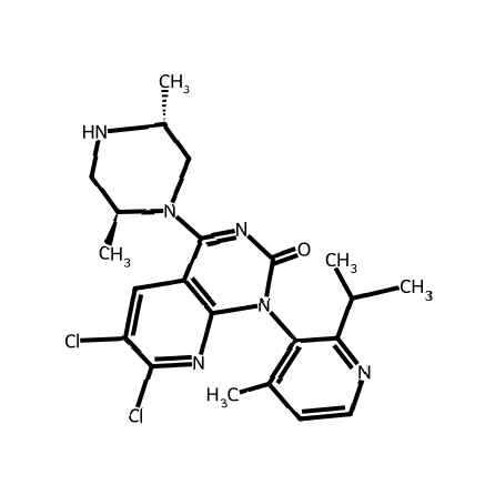 Cc1ccnc(C(C)C)c1-n1c(=O)nc(N2C[C@@H](C)NC[C@@H]2C)c2cc(Cl)c(Cl)nc21